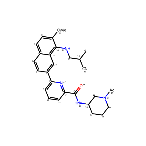 COc1ccc2ccc(-c3cccc(C(=O)N[C@@H]4CCCN(C(C)=O)C4)n3)cc2c1NCC(C)C#N